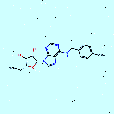 CNC[C@H]1O[C@@H](n2cnc3c(NCc4ccc(OC)cc4)ncnc32)[C@@H](O)C1O